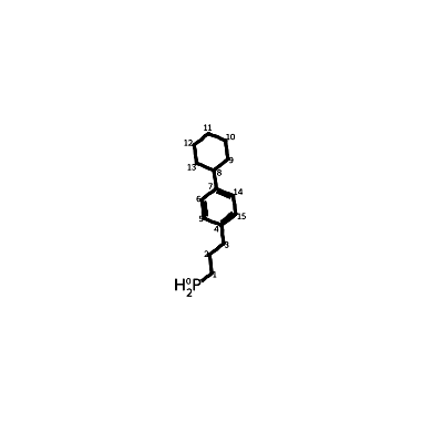 PCCCc1ccc(C2CCCCC2)cc1